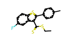 CCSC(=S)c1c(-c2ccc(C)cc2)sc2ccc(F)cc12